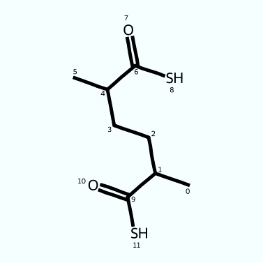 CC(CCC(C)C(=O)S)C(=O)S